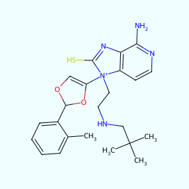 Cc1ccccc1C1OC=C([N+]2(CCNCC(C)(C)C)C(S)=Nc3c2ccnc3N)O1